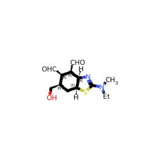 CCN(C)C1=N[C@@H]2[C@H](C=O)[C@H](C=O)[C@H](CO)C[C@@H]2S1